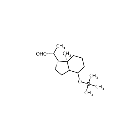 C[C@@H](C=O)[C@H]1CCC2C(O[Si](C)(C)C)CCC[C@@]21C